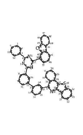 c1ccc(-c2nc(-c3cccc(-c4cccc(-c5nc6c7ccccc7sc6c6ccccc56)c4)c3)nc(-c3cccc4c3oc3ccccc34)n2)cc1